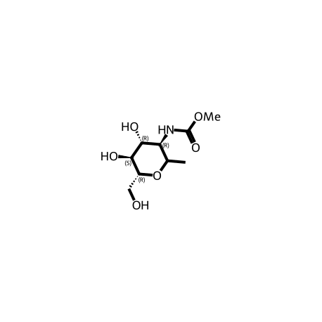 COC(=O)N[C@H]1C(C)O[C@H](CO)[C@@H](O)[C@@H]1O